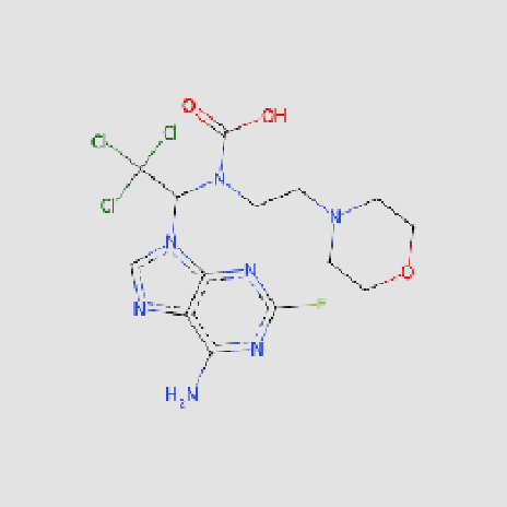 Nc1nc(F)nc2c1ncn2C(N(CCN1CCOCC1)C(=O)O)C(Cl)(Cl)Cl